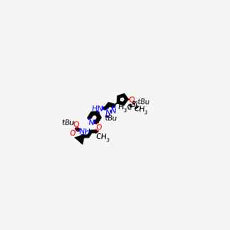 CC(CCC1(NC(=O)OC(C)(C)C)CC1)Oc1cc(Nc2cc([C@H]3CC[C@@H](O[Si](C)(C)C(C)(C)C)C3)nn2C(C)(C)C)ccn1